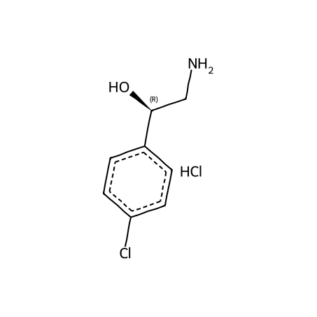 Cl.NC[C@H](O)c1ccc(Cl)cc1